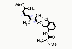 C=C(\C=C/C=C(C)/C(C)=N/OCc1c(Cl)cccc1NC(=O)N(C)NC)OC